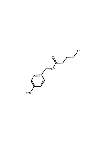 CC(=O)CCCC(=O)NCc1ccc(C(C)(C)C)cc1